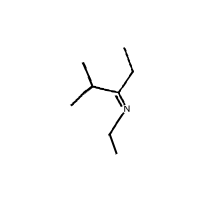 CCN=C(CC)C(C)C